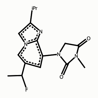 CC(C)c1cn2cc(C(C)F)cc(N3CC(=O)N(C)C3=O)c2n1